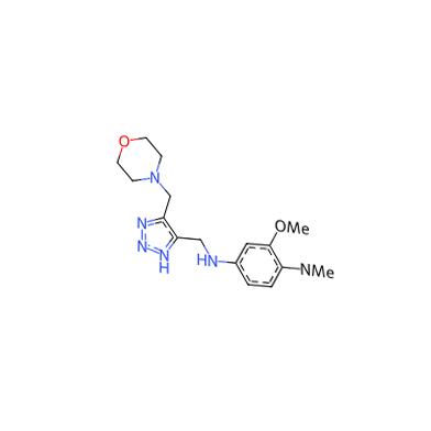 CNc1ccc(NCc2[nH]nnc2CN2CCOCC2)cc1OC